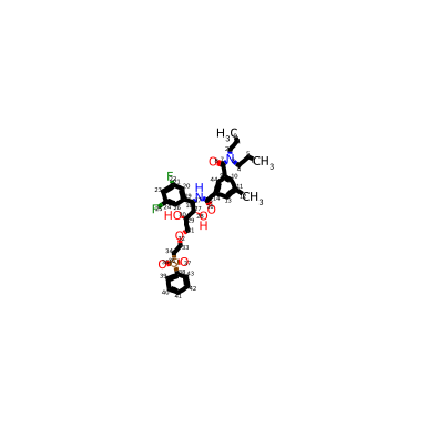 CCCN(CCC)C(=O)c1cc(C)cc(C(=O)NC(c2cc(F)cc(F)c2)[C@H](O)[C@H](O)COCCS(=O)(=O)c2ccccc2)c1